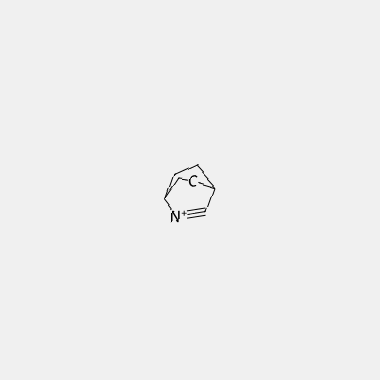 C1#[N+]C2CCC1CC2